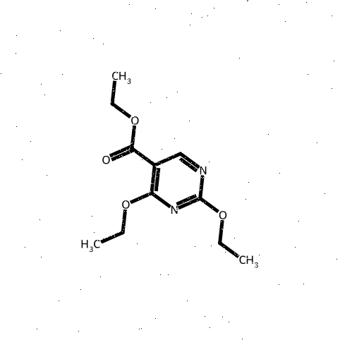 CCOC(=O)c1cnc(OCC)nc1OCC